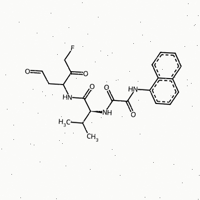 CC(C)[C@H](NC(=O)C(=O)Nc1cccc2ccccc12)C(=O)NC(CC=O)C(=O)CF